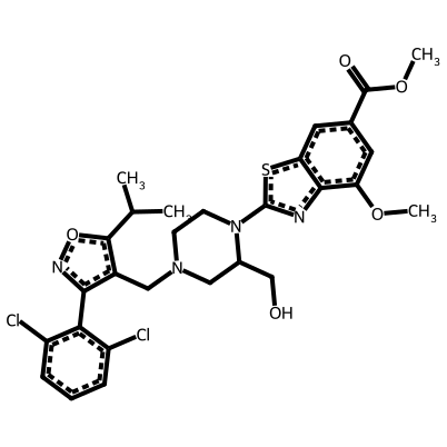 COC(=O)c1cc(OC)c2nc(N3CCN(Cc4c(-c5c(Cl)cccc5Cl)noc4C(C)C)CC3CO)sc2c1